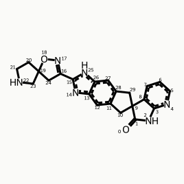 O=C1Nc2ncccc2C12Cc1cc3nc(C4=NOC5(CCNC5)C4)[nH]c3cc1C2